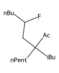 CCCCCC(CC(F)CCCC)(C(C)=O)C(C)CC